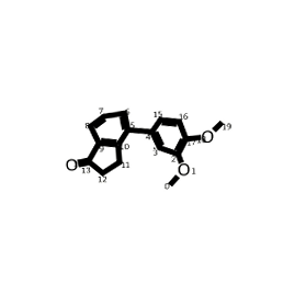 COc1[c]c(-c2cccc3c2CCC3=O)ccc1OC